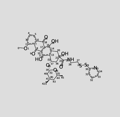 COc1cccc2c1C(=O)c1c(O)c3c(c(O)c1C2=O)C[C@@](O)(C(=O)NCCSSc1ccccn1)C[C@@H]3O[C@H]1C[C@H](I)C[C@H](C)O1